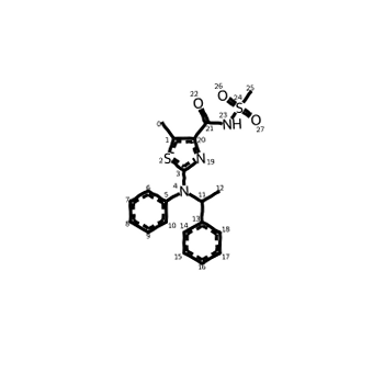 Cc1sc(N(c2ccccc2)C(C)c2ccccc2)nc1C(=O)NS(C)(=O)=O